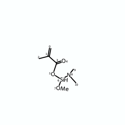 C=C(C)C(=O)O[SiH](OC)N(C)C